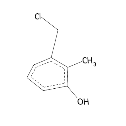 Cc1c(O)cccc1CCl